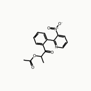 CC(=O)OC(C)C(=O)c1ccccc1-c1ncccc1[N+](=O)[O-]